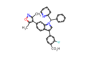 Cc1noc(C)c1-c1ccc2c(-c3ccc(C(=O)O)c(F)c3)cn(C(c3ccccc3)c3ccccn3)c2c1